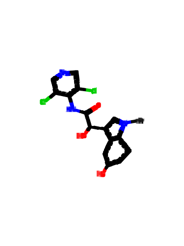 CCCn1cc(C(O)C(=O)Nc2c(Cl)cncc2Cl)c2cc(O)ccc21